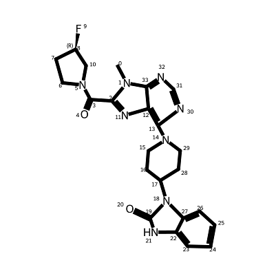 Cn1c(C(=O)N2CC[C@@H](F)C2)nc2c(N3CCC(n4c(=O)[nH]c5ccccc54)CC3)ncnc21